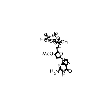 CO[C@@H]1C[C@H](n2cnc3c(=O)[nH]c(N)nc32)O[C@@H]1COP(=O)(O)OP(=O)(O)OP(=O)(O)O